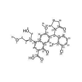 COCC[C@@H](CO)n1cc(C(=O)O)c(=O)c2cc(C(c3cccc(Cl)c3F)N3CCCC3=O)c(OC)cc21